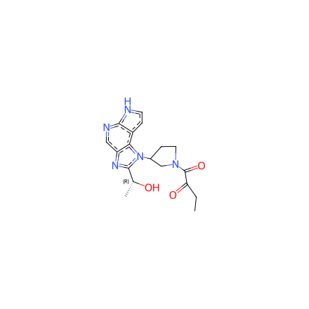 CCC(=O)C(=O)N1CCC(n2c([C@@H](C)O)nc3cnc4[nH]ccc4c32)C1